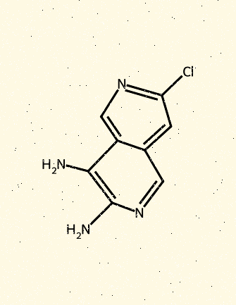 Nc1ncc2cc(Cl)ncc2c1N